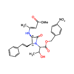 COC(=O)C=C(C)N[C@H]1C(=O)N(C(C(=O)OCc2ccc([N+](=O)[O-])cc2)C(C)O)[C@H]1C=Cc1ccccc1